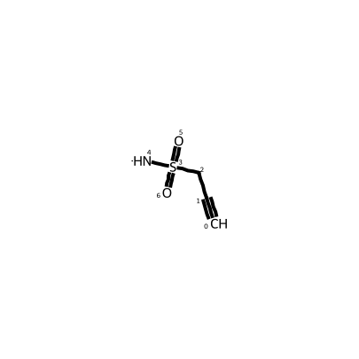 C#CCS([NH])(=O)=O